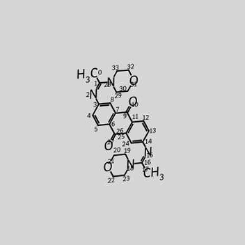 CC(=Nc1ccc2c(c1)C(=O)c1ccc(N=C(C)N3CCOCC3)cc1C2=O)N1CCOCC1